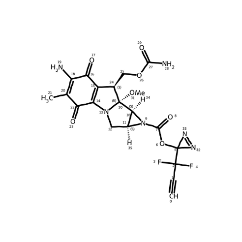 C#CC(F)(F)C1(OC(=O)N2[C@H]3[C@@H]2CN2C4=C(C(=O)C(N)=C(C)C4=O)[C@@H](COC(N)=O)[C@@]32OC)N=N1